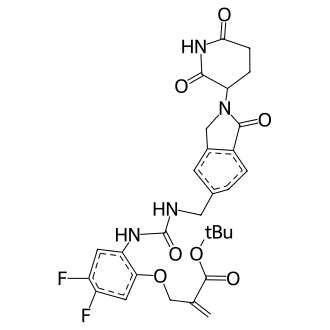 C=C(COc1cc(F)c(F)cc1NC(=O)NCc1ccc2c(c1)CN(C1CCC(=O)NC1=O)C2=O)C(=O)OC(C)(C)C